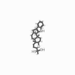 CC(O)(S)C1CCC2(C)C(CCC3(C)C2CCC2Cc4c([nH]c5ccccc45)[C@@]23C)O1